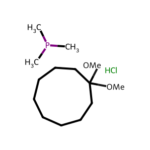 COC1(OC)CCCCCCCC1.CP(C)C.Cl